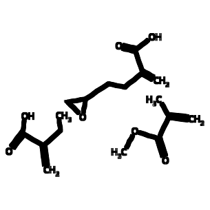 C=C(C)C(=O)OC.C=C(CC)C(=O)O.C=C(CCC1CO1)C(=O)O